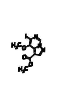 COC(=O)c1cnn2cnc(I)c(OC)c12